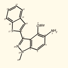 COc1c(N)ccc2c1c(-c1cc3ccccc3s1)nn2C